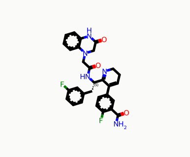 NC(=O)c1cc(C2=CCCN=C2[C@H](Cc2cccc(F)c2)NC(=O)CN2CC(=O)Nc3ccccc32)ccc1F